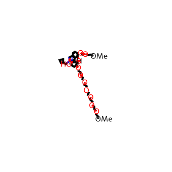 COCCOCCOCCOCCOCCOCCOCCOC1CC[C@@]2(O)C3Cc4ccc(OCOCCOC)c5c4[C@@]2(CCN3CC2CCC2)[C@H]1O5